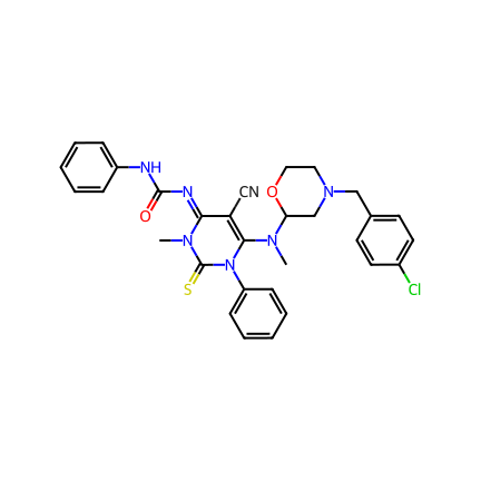 CN(c1c(C#N)/c(=N/C(=O)Nc2ccccc2)n(C)c(=S)n1-c1ccccc1)C1CN(Cc2ccc(Cl)cc2)CCO1